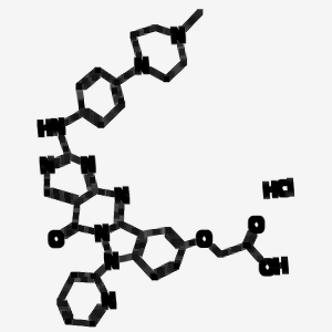 CN1CCN(c2ccc(Nc3ncc4c(=O)n5c(nc4n3)c3cc(OCC(=O)O)ccc3n5-c3ccccn3)cc2)CC1.Cl